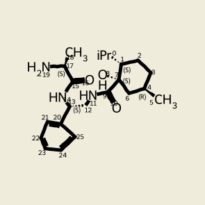 CC(C)[C@@H]1CC[C@@H](C)C[C@@]1(O)C(=O)NC[C@@H](NC(=O)[C@H](C)N)c1ccccc1